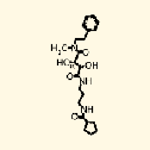 CN(CCc1ccccc1)C(=O)[C@H](O)[C@@H](O)C(=O)NCCCNC(=O)C1CCCC1